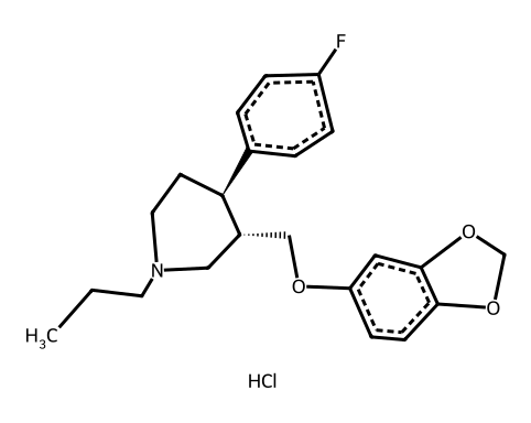 CCCN1CC[C@@H](c2ccc(F)cc2)[C@H](COc2ccc3c(c2)OCO3)C1.Cl